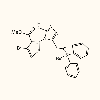 COC(=O)c1c(Br)csc1-n1c(C)nnc1CO[Si](c1ccccc1)(c1ccccc1)C(C)(C)C